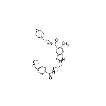 Cc1cc2nn(CC3CN(C(=O)c4ccc(OC(F)(F)F)cc4)C3)cc2cc1C(=O)NCCN1CCOCC1